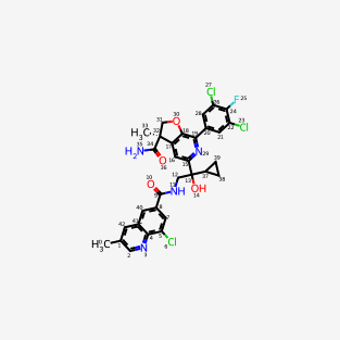 Cc1cnc2c(Cl)cc(C(=O)NCC(O)(c3cc4c(c(-c5cc(Cl)c(F)c(Cl)c5)n3)OC[C@]4(C)C(N)=O)C3CC3)cc2c1